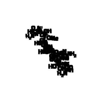 COC[C@H]1[C@@H](O)[C@H](n2c[n+](C)c3c(=O)[nH]c(N)nc32)O[C@@H]1COP(=O)(O)OP(=O)(O)CP(=O)(O)OP(=O)(O)OC[C@H]1O[C@@H](n2cnc3c(N)ncnc32)[C@H](OC)[C@@H]1P(=O)([O-])OC[C@H]1O[C@@H](n2cnc3c(=O)[nH]c(N)nc32)[C@H](O)[C@@H]1O